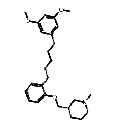 COc1cc(CCCCCc2ccccc2OCC2CCCN(C)C2)cc(OC)c1